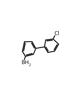 Bc1cccc(-c2cccc(Cl)c2)c1